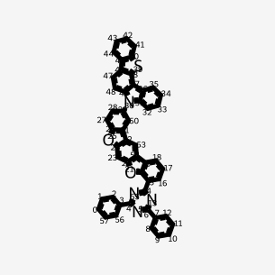 c1ccc(-c2nc(-c3ccccc3)nc(-c3cccc4c3oc3cc5oc6ccc(-n7c8ccccc8c8c9sc%10ccccc%10c9ccc87)cc6c5cc34)n2)cc1